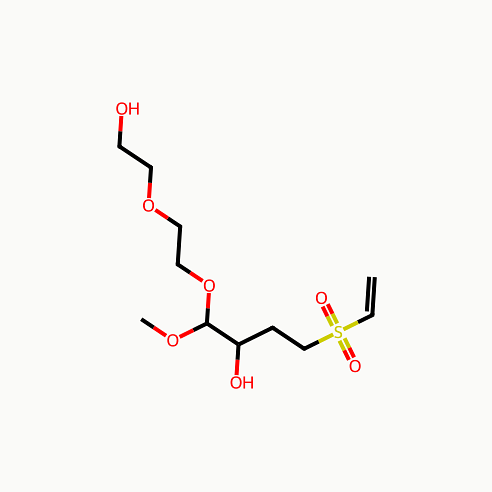 C=CS(=O)(=O)CCC(O)C(OC)OCCOCCO